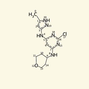 Cc1cc(Nc2cc(NC3CCOCC3)nc(Cl)n2)n[nH]1